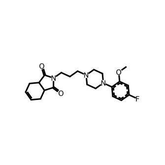 COc1cc(F)ccc1N1CCN(CCCN2C(=O)C3CC=CCC3C2=O)CC1